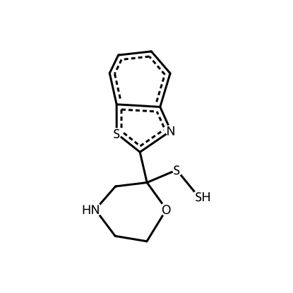 SSC1(c2nc3ccccc3s2)CNCCO1